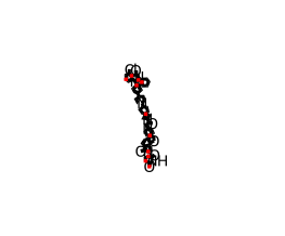 O=C1CC[C@H](N2Cc3c(ccc4c3OCC43CCN(CC(=O)N4CC5(CCC(N6CCC(c7ccc8c(c7)C7(CCCCC7)c7nc(=O)c9c(Cl)cccc9n7-8)CC6)CC5)C4)CC3)C2=O)C(=O)N1